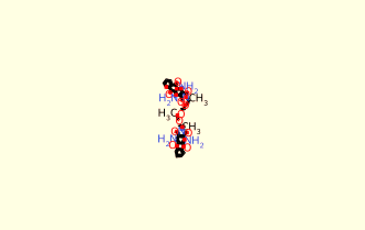 CC(COCC(C)n1c(=O)c2c(N)c3c(=O)c4ccccc4c(=O)c3c(N)c2c1=O)OCCOCC(C)n1c(=O)c2c(N)c3c(=O)c4ccccc4c(=O)c3c(N)c2c1=O